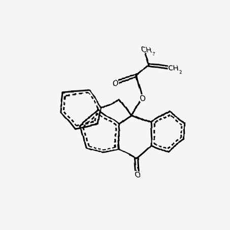 C=C(C)C(=O)OC1(Cc2ccccc2)c2ccccc2C(=O)c2ccccc21